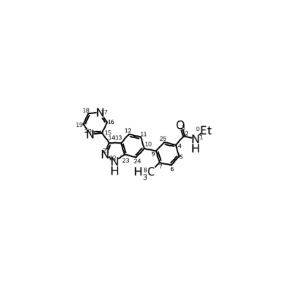 CCNC(=O)c1ccc(C)c(-c2ccc3c(-c4cnccn4)n[nH]c3c2)c1